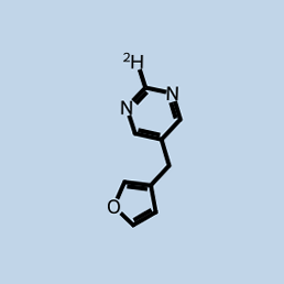 [2H]c1ncc(Cc2ccoc2)cn1